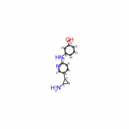 NC1CC1c1ccc(Nc2cccc(O)c2)nc1